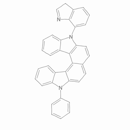 C1=Nc2c(cccc2-n2c3ccccc3c3c4c(ccc5c4c4ccccc4n5-c4ccccc4)ccc32)C1